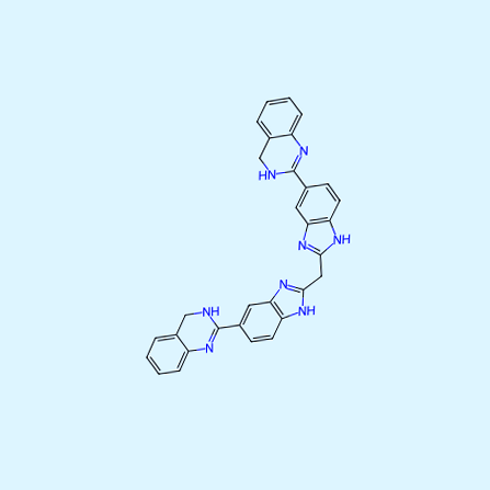 c1ccc2c(c1)CNC(c1ccc3[nH]c(Cc4nc5cc(C6=Nc7ccccc7CN6)ccc5[nH]4)nc3c1)=N2